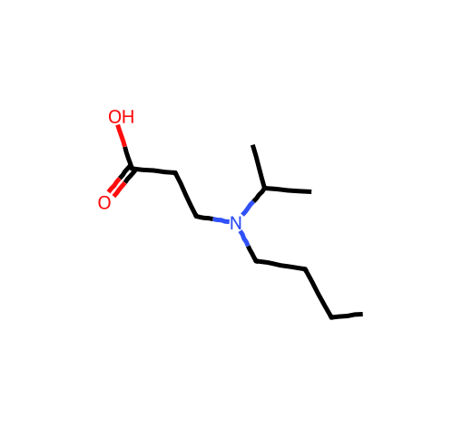 CCCCN(CCC(=O)O)C(C)C